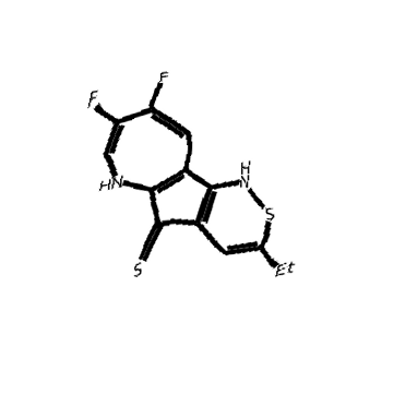 CCc1cc2c(=S)c3[nH]cc(F)c(F)cc3c2[nH]s1